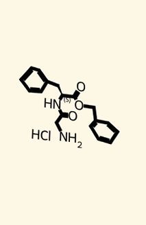 Cl.NCC(=O)N[C@@H](Cc1ccccc1)C(=O)OCc1ccccc1